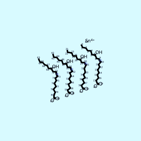 CCCCCC[C@@H](O)C/C=C\CCCCCCCC(=O)[O-].CCCCCC[C@@H](O)C/C=C\CCCCCCCC(=O)[O-].CCCCCC[C@@H](O)C/C=C\CCCCCCCC(=O)[O-].CCCCCC[C@@H](O)C/C=C\CCCCCCCC(=O)[O-].[Sn+4]